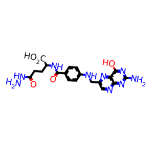 NNC(=O)CCC(NC(=O)c1ccc(NCc2cnc3nc(N)nc(O)c3n2)cc1)C(=O)O